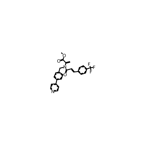 C=C(C(=O)OC)N(Cc1ccc(-c2ccncc2)cc1)C(=O)C=Cc1ccc(C(F)(F)F)cc1